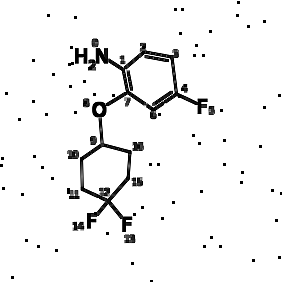 Nc1ccc(F)cc1OC1CCC(F)(F)CC1